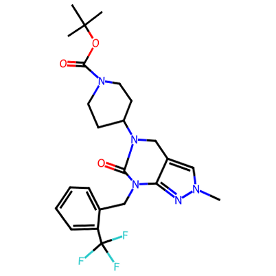 Cn1cc2c(n1)N(Cc1ccccc1C(F)(F)F)C(=O)N(C1CCN(C(=O)OC(C)(C)C)CC1)C2